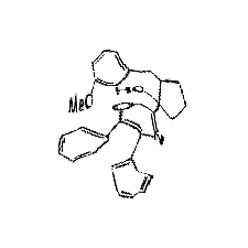 COc1cccc(CC2CCCC2(O)c2nc(-c3ccccc3)c(-c3ccccc3)o2)c1